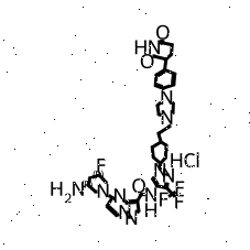 Cl.N[C@@H]1C[C@@H](F)CN(c2ccn3ncc(C(=O)Nc4cn(C5CCC(CCN6CCN(c7ccc(C8CCC(=O)NC8=O)cc7)CC6)CC5)nc4C(F)(F)F)c3n2)C1